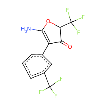 NC1=C(c2cccc(C(F)(F)F)c2)C(=O)C(C(F)(F)F)O1